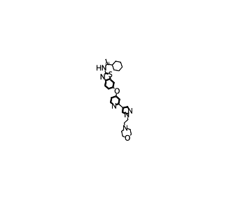 C[C@H](Nc1nc2ccc(Oc3ccnc(-c4cnn(CCN5CCOCC5)c4)c3)cc2s1)C1CCCCC1